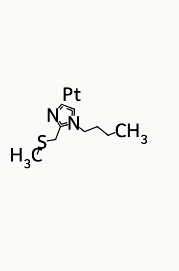 CCCCn1ccnc1CSC.[Pt]